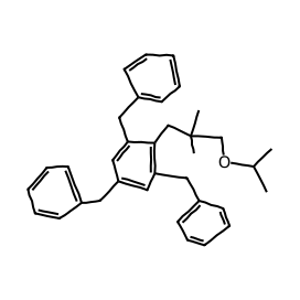 CC(C)OCC(C)(C)Cc1c(Cc2ccccc2)cc(Cc2ccccc2)cc1Cc1ccccc1